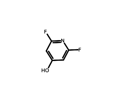 Oc1cc(F)nc(F)c1